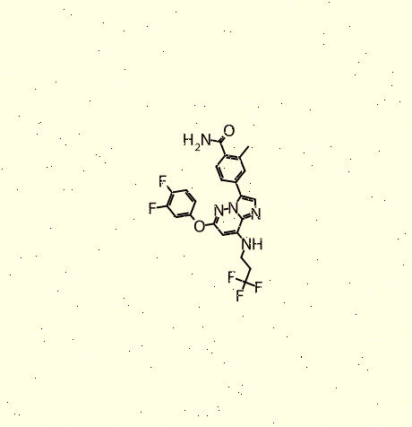 Cc1cc(-c2cnc3c(NCCC(F)(F)F)cc(Oc4ccc(F)c(F)c4)nn23)ccc1C(N)=O